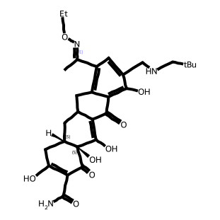 CCO/N=C(\C)c1cc(CNCC(C)(C)C)c(O)c2c1CC1C[C@H]3CC(O)=C(C(N)=O)C(=O)[C@@]3(O)C(O)=C1C2=O